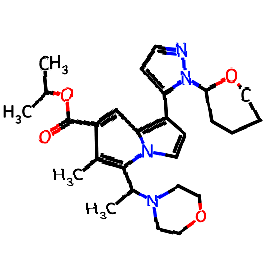 Cc1c(C(=O)OC(C)C)cc2c(-c3ccnn3C3CCCCO3)ccn2c1C(C)N1CCOCC1